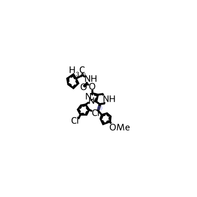 COc1ccc(/C=C2\CNCc3c(OC(=O)N[C@H](C)c4ccccc4)nn(-c4ccc(Cl)cc4Cl)c32)cc1